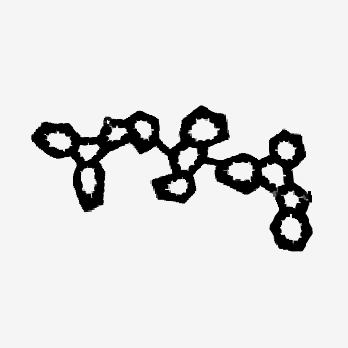 c1ccc2c(c1)nc1c3ccccc3c3cc(-c4c5ccccc5c(-c5ccc6oc7c8ccccc8c8ccccc8c7c6c5)c5ccccc45)ccc3n21